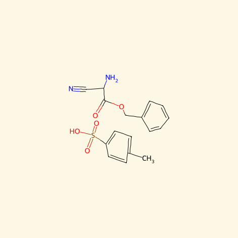 Cc1ccc(S(=O)(=O)O)cc1.N#CC(N)C(=O)OCc1ccccc1